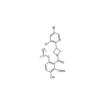 COc1c(C#N)ccc(O[C@@H](C)C(F)(F)F)c1C(=O)N1CC(c2ncc(Br)cc2Cl)C1